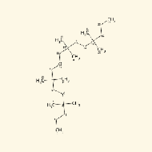 CCCC(C)(C)CCC(C)(C)COCC(C)(C)CCC(C)(C)CCC